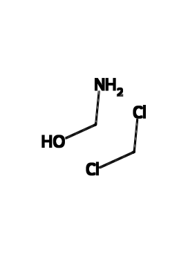 ClCCl.NCO